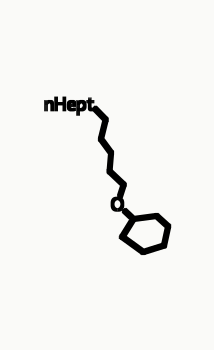 CCCCCCCCCCCCOC1CCCCC1